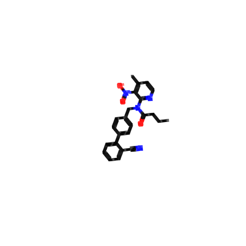 CCCC(=O)N(Cc1ccc(-c2ccccc2C#N)cc1)c1nccc(C)c1[N+](=O)[O-]